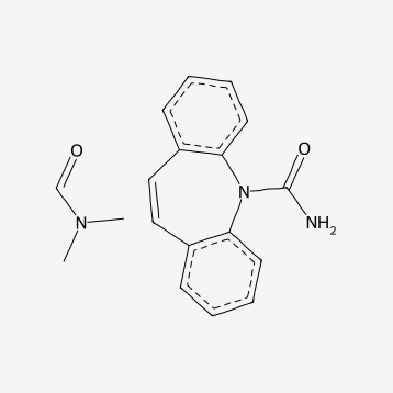 CN(C)C=O.NC(=O)N1c2ccccc2C=Cc2ccccc21